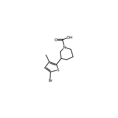 Cc1cc(Br)sc1C1CCCN(C(=O)O)C1